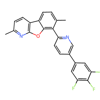 Cc1ccc2c(n1)oc1c(-c3ccc(-c4cc(F)c(F)c(F)c4)cn3)c(C)ccc12